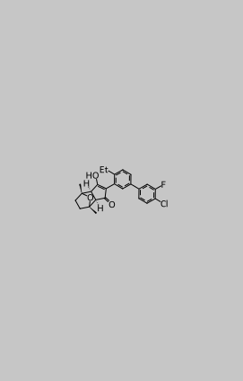 CCc1ccc(-c2ccc(Cl)c(F)c2)cc1C1=C(O)[C@H]2[C@@H](C1=O)[C@]1(C)CC[C@@]2(C)O1